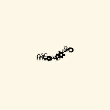 Cc1c(C)c2c(c(C)c1OCC(=O)N1CCCCC1)CCC(C)(COc1ccc(C=C3NC(=O)SC3=O)cc1)O2